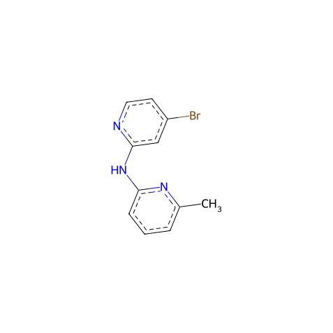 Cc1cccc(Nc2cc(Br)ccn2)n1